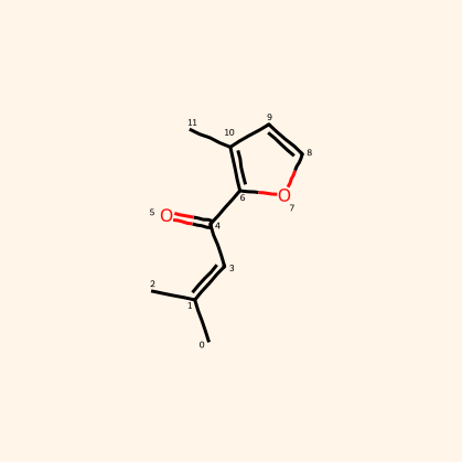 CC(C)=CC(=O)c1occc1C